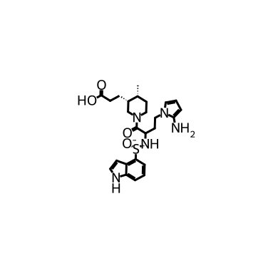 C[C@@H]1CCN(C(=O)C(CCn2cccc2N)N[S+]([O-])c2cccc3[nH]ccc23)C[C@@H]1CCC(=O)O